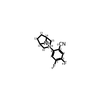 N#Cc1cc(F)c(F)cc1N1CC2CCC(C1)N2